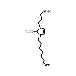 CCCCCCCCCCCCCCCCN1C=CN(CCCCCCCCCCCCC)C1CCCCCCCC